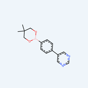 CC1(C)COB(c2ccc(-c3cncnc3)cc2)OC1